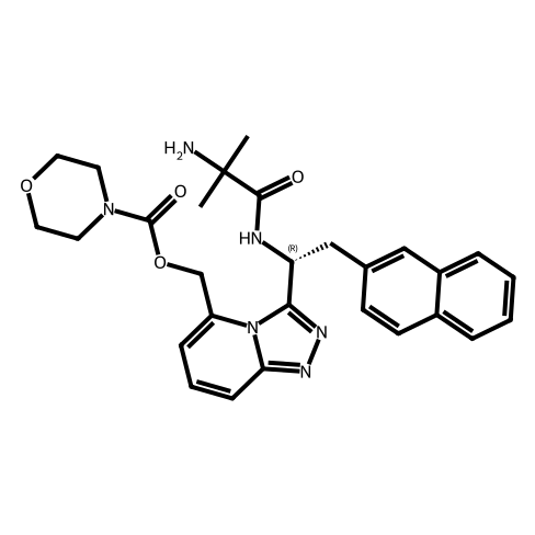 CC(C)(N)C(=O)N[C@H](Cc1ccc2ccccc2c1)c1nnc2cccc(COC(=O)N3CCOCC3)n12